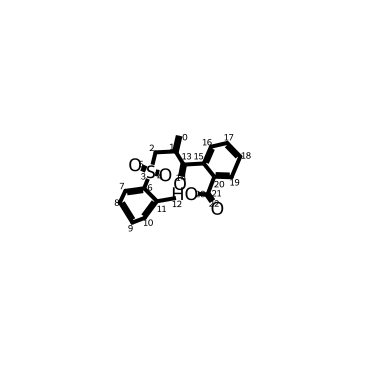 C=C(CS(=O)(=O)c1ccccc1C)C(=O)c1ccccc1C(=O)O